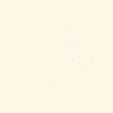 C/C(O)=C(\N=Nc1ccc(-c2nc3ccc(C)c(S(=O)(=O)O)c3s2)cc1)C(=O)Nc1cccc2c(S(=O)(=O)O)cccc12